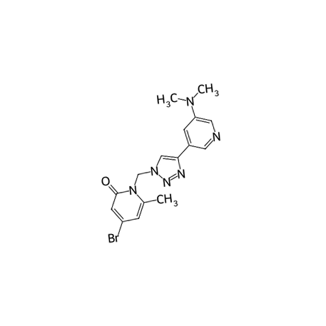 Cc1cc(Br)cc(=O)n1Cn1cc(-c2cncc(N(C)C)c2)nn1